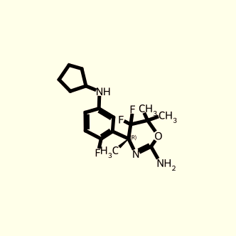 CC1(C)OC(N)=N[C@](C)(c2cc(NC3CCCC3)ccc2F)C1(F)F